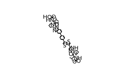 COC(=O)N[C@H](C(=O)N1CCCC1c1ncc(-c2csc3c(-c4ccc(-c5ccc6[nH]c(C7CCCN7C(=O)[C@H](NC(=O)O)C(C)C)nc6c5)cc4)csc23)[nH]1)C(C)C